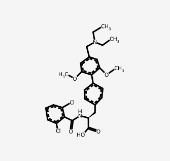 CCN(CC)Cc1cc(OC)c(-c2ccc(C[C@H](NC(=O)c3c(Cl)cccc3Cl)C(=O)O)cc2)c(OC)c1